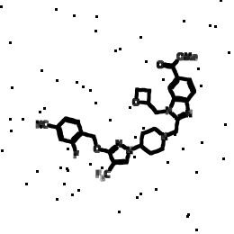 COC(=O)c1ccc2nc(CN3CCC(n4cc(C(F)(F)F)c(OCc5ccc(C#N)cc5F)n4)CC3)n(CC3CCO3)c2c1